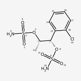 C[C@H](OS(N)(=O)=O)[C@@H](OS(N)(=O)=O)c1ccccc1Cl